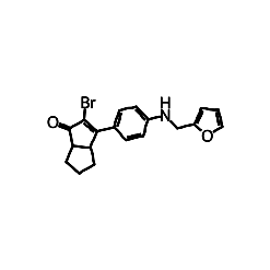 O=C1C(Br)=C(c2ccc(NCc3ccco3)cc2)C2CCCC12